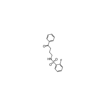 O=C(CCCNS(=O)(=O)c1ccccc1F)c1ccccc1